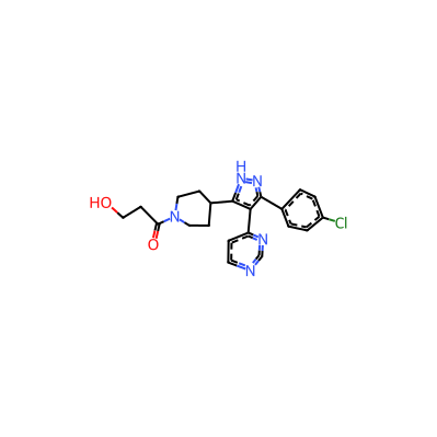 O=C(CCO)N1CCC(c2[nH]nc(-c3ccc(Cl)cc3)c2-c2ccncn2)CC1